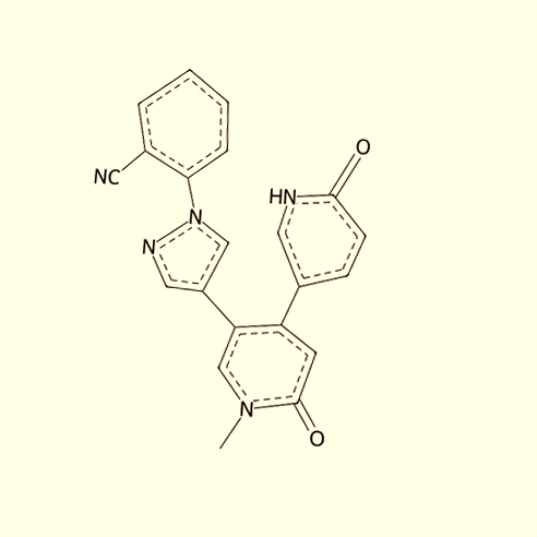 Cn1cc(-c2cnn(-c3ccccc3C#N)c2)c(-c2ccc(=O)[nH]c2)cc1=O